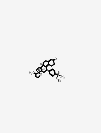 C=C1CCO[C@]12CC[C@H]1[C@@H]3CCC4=CC(=O)CCC4=C3[C@@H](c3ccc(P(C)(=O)OCC)cc3)C[C@@]12C